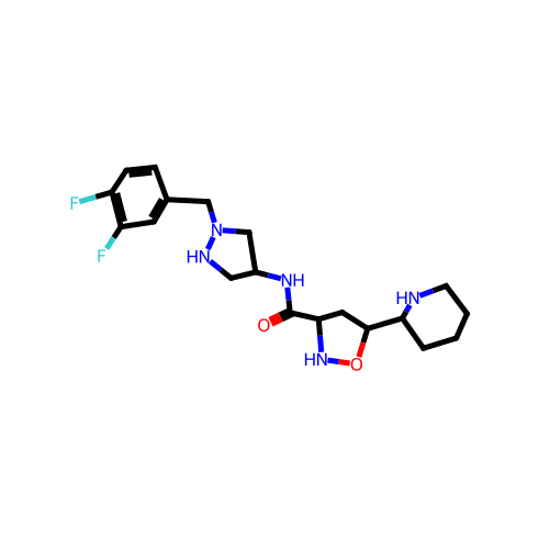 O=C(NC1CNN(Cc2ccc(F)c(F)c2)C1)C1CC(C2CCCCN2)ON1